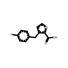 O=C(O)c1occc1Cc1ccc(F)cc1